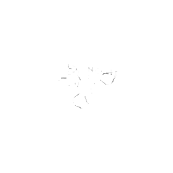 CCOC(=O)N(C)C1C(=O)N(CC(=O)OC(C)(C)C)c2ccccc2SC1c1ccccc1